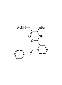 CCCCC(NC(=O)c1ccccc1C=Cc1ccccc1)C(=O)CNC(C)=O